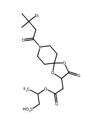 CCC(C)(C)CC(=O)N1CCC2(CC1)OC(=O)C(CC(=O)OC(CS(=O)(=O)O)C(F)(F)F)O2